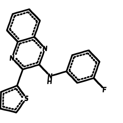 Fc1cccc(Nc2nc3ccccc3nc2-c2cccs2)c1